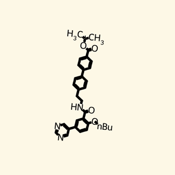 CCCCOc1ccc(-c2cncnc2)cc1C(=O)NCCc1ccc(-c2ccc(C(=O)OI(C)C)cc2)cc1